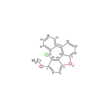 COc1ccc2oc3cccc(-c4ccccc4)c3c2c1Cl